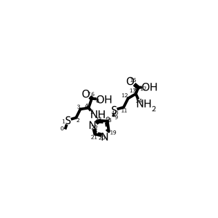 CSCCC(N)C(=O)O.CSCCC(N)C(=O)O.c1cncnc1